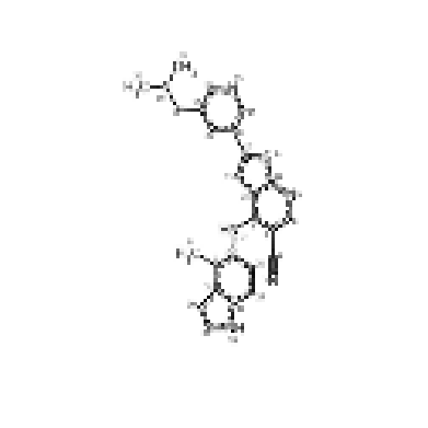 Cc1c(Nc2c(C#N)cnc3sc(-c4cncc(CN(C)C)c4)cc23)ccc2[nH]ccc12